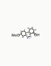 COc1cccc(/C=C\c2ccccc2O)c1